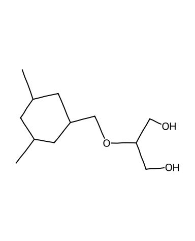 CC1CC(C)CC(COC(CO)CO)C1